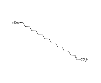 CCCCCCCCCCCCCCCCCCCCCCCCCC/C=C/C(=O)O